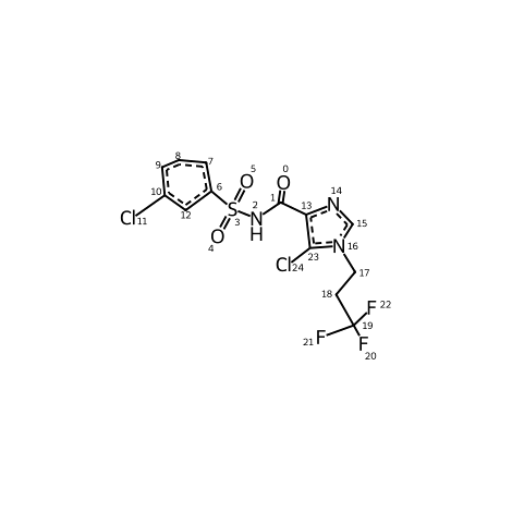 O=C(NS(=O)(=O)c1cccc(Cl)c1)c1ncn(CCC(F)(F)F)c1Cl